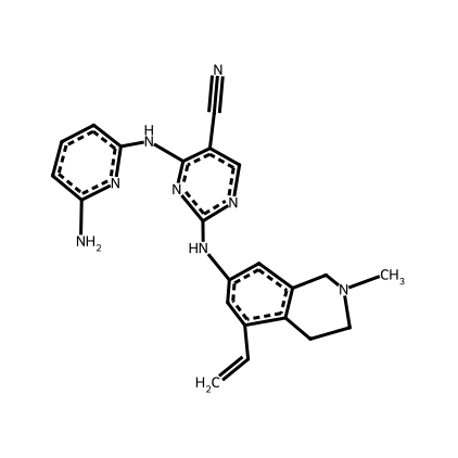 C=Cc1cc(Nc2ncc(C#N)c(Nc3cccc(N)n3)n2)cc2c1CCN(C)C2